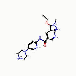 CCOc1c2cc(C(=O)Nc3ccc(N4CCNCC4)cn3)cnc2nn1C